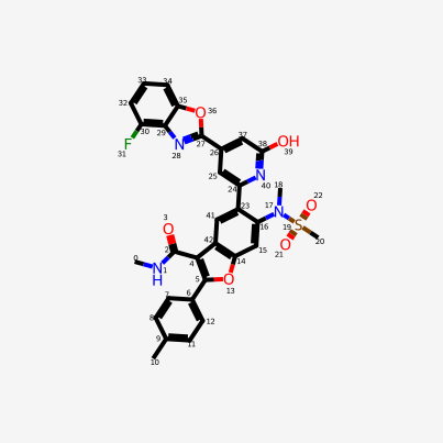 CNC(=O)c1c(-c2ccc(C)cc2)oc2cc(N(C)S(C)(=O)=O)c(-c3cc(-c4nc5c(F)cccc5o4)cc(O)n3)cc12